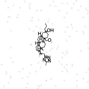 CCC[C@@]1(O)CC[C@@]2(COC)[C@H](CC[C@H]3[C@@H]4CC[C@H]([C@@H](C)Cn5nnc(C)n5)[C@@]4(C)CC[C@@H]32)C1